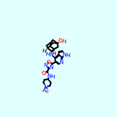 CC(=O)N1CCC(NC(=O)c2noc(-c3cnc4[nH]ccc4c3NC3[C@@H]4CC5C[C@H]3CC(O)(C5)C4)n2)CC1